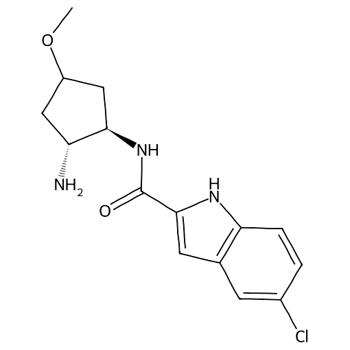 COC1C[C@@H](N)[C@H](NC(=O)c2cc3cc(Cl)ccc3[nH]2)C1